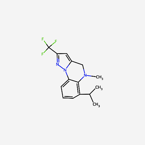 CC(C)c1cccc2c1N(C)Cc1cc(C(F)(F)F)nn1-2